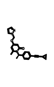 Cc1cc(OCn2cccn2)cc(=O)n1[C@H](C)c1ccc(C#CC2CC2)cc1